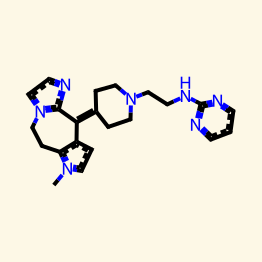 Cn1ccc2c1CCn1ccnc1C2=C1CCN(CCNc2ncccn2)CC1